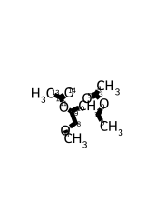 CCOC(C)=O.COCC(C)OC(C)=O